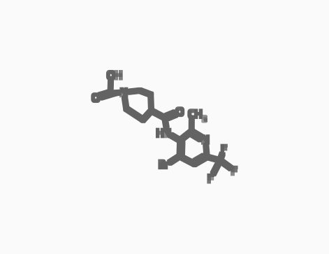 Cc1nc(C(F)(F)F)cc(Br)c1NC(=O)C1CCN(C(=O)O)CC1